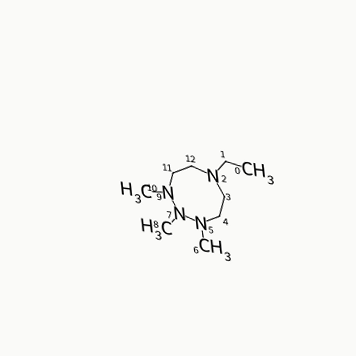 CCN1CCN(C)N(C)N(C)CC1